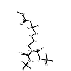 COC(=O)CC(C)(C)SSCCN(C(=O)OC(C)(C)C)C(=O)OC(C)(C)C